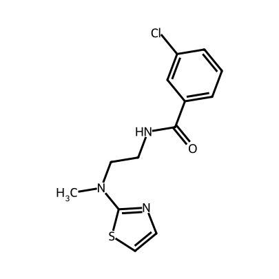 CN(CCNC(=O)c1cccc(Cl)c1)c1nccs1